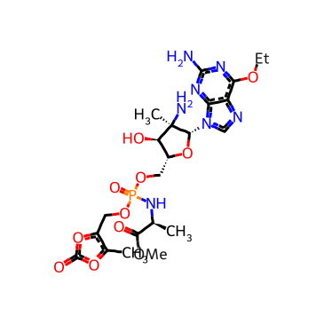 CCOc1nc(N)nc2c1ncn2[C@@H]1O[C@H](COP(=O)(N[C@@H](C)C(=O)OC)OCc2oc(=O)oc2C)[C@@H](O)[C@@]1(C)N